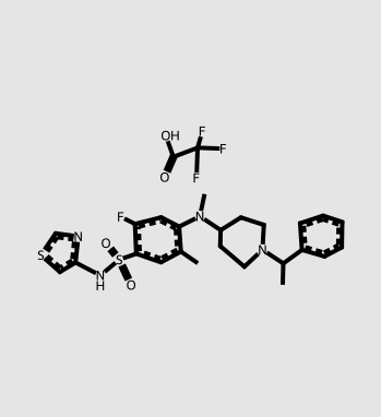 Cc1cc(S(=O)(=O)Nc2cscn2)c(F)cc1N(C)C1CCN(C(C)c2ccccc2)CC1.O=C(O)C(F)(F)F